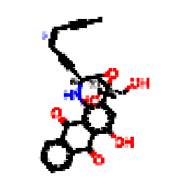 CC#C/C=C\C#C[C@@H]1Nc2c(cc(O)c3c2C(=O)c2ccccc2C3=O)[C@]2(CO)O[C@]12C(C)O